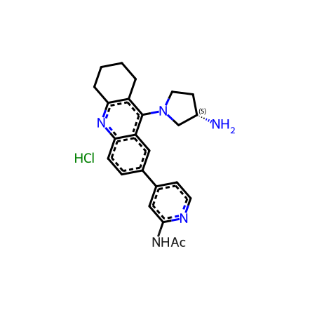 CC(=O)Nc1cc(-c2ccc3nc4c(c(N5CC[C@H](N)C5)c3c2)CCCC4)ccn1.Cl